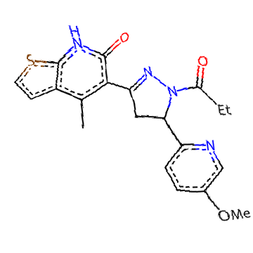 CCC(=O)N1N=C(c2c(C)c3ccsc3[nH]c2=O)CC1c1ccc(OC)cn1